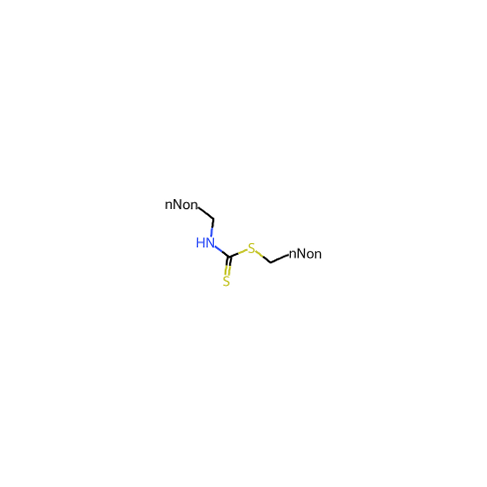 CCCCCCCCCCNC(=S)SCCCCCCCCCC